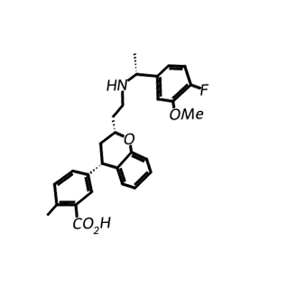 COc1cc([C@@H](C)NCC[C@H]2C[C@@H](c3ccc(C)c(C(=O)O)c3)c3ccccc3O2)ccc1F